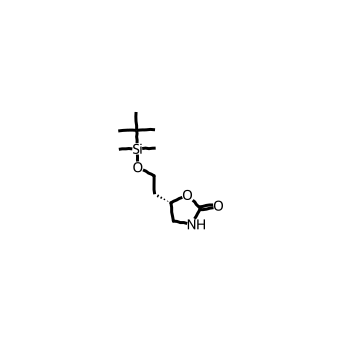 CC(C)(C)[Si](C)(C)OCC[C@H]1CNC(=O)O1